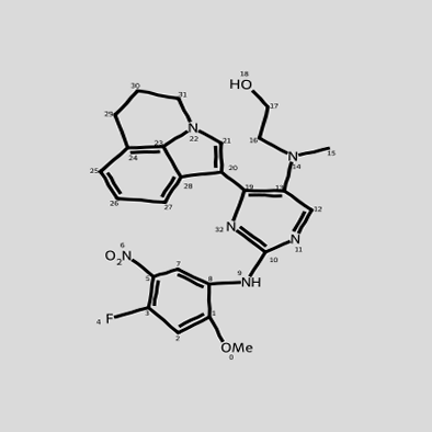 COc1cc(F)c([N+](=O)[O-])cc1Nc1ncc(N(C)CCO)c(-c2cn3c4c(cccc24)CCC3)n1